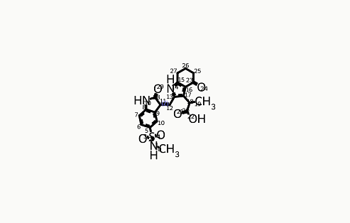 CNS(=O)(=O)c1ccc2c(c1)/C(=C/c1[nH]c3c(c1C(C)C(=O)O)C(=O)CCC3)C(=O)N2